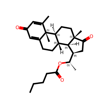 CCCCC(=O)O[C@@H](C)[C@@H]1CC(=O)[C@@]2(C)CC[C@H]3[C@@H](CCC4=CC(=O)C=C(C)[C@@]43C)[C@H]12